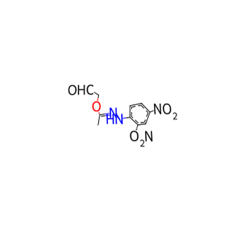 C/C(=N\Nc1ccc([N+](=O)[O-])cc1[N+](=O)[O-])OCC=O